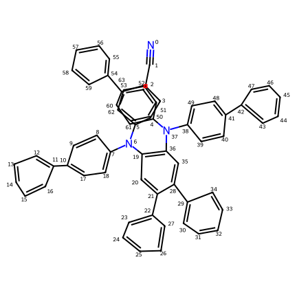 N#Cc1ccc(N(c2ccc(-c3ccccc3)cc2)c2cc(-c3ccccc3)c(-c3ccccc3)cc2N(c2ccc(-c3ccccc3)cc2)c2ccc(-c3ccccc3)cc2)cc1